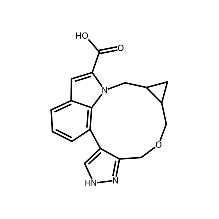 O=C(O)c1cc2cccc3c2n1CC1CC1COCc1n[nH]cc1-3